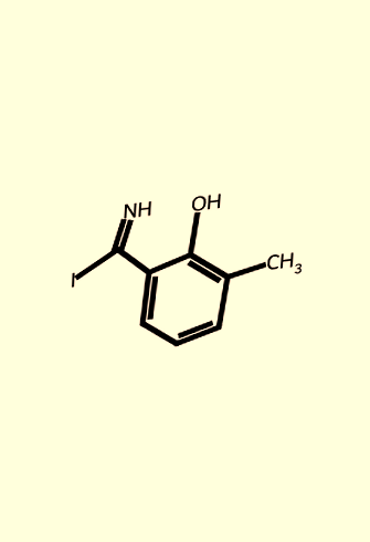 Cc1cccc(C(=N)I)c1O